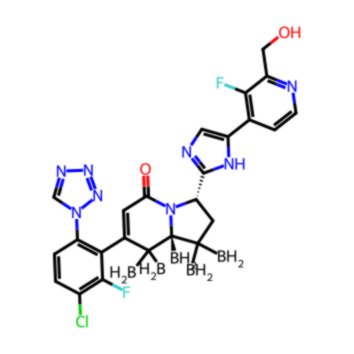 BC1(B)C[C@@H](c2ncc(-c3ccnc(CO)c3F)[nH]2)N2C(=O)C=C(c3c(-n4cnnn4)ccc(Cl)c3F)C(B)(B)[C@]21B